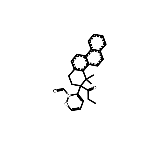 CCC(=O)C1(C2=CC=CON2C=O)CCc2ccc3c(ccc4ccccc43)c2C1(C)C